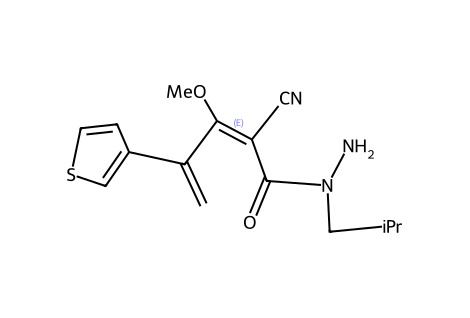 C=C(/C(OC)=C(/C#N)C(=O)N(N)CC(C)C)c1ccsc1